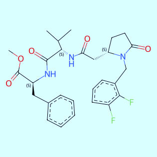 COC(=O)[C@H](Cc1ccccc1)NC(=O)[C@@H](NC(=O)C[C@@H]1CCC(=O)N1Cc1cccc(F)c1F)C(C)C